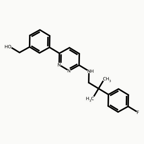 CC(C)(CNc1ccc(-c2cccc(CO)c2)nn1)c1ccc(F)cc1